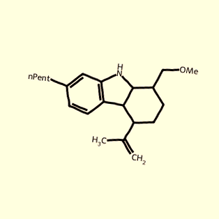 C=C(C)C1CCC(COC)C2Nc3cc(CCCCC)ccc3C12